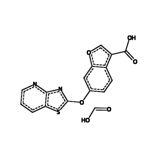 O=C(O)c1coc2cc(Oc3nc4ncccc4s3)ccc12.O=CO